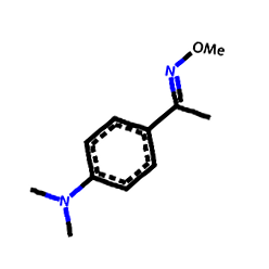 CON=C(C)c1ccc(N(C)C)cc1